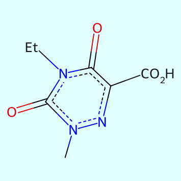 CCn1c(=O)c(C(=O)O)nn(C)c1=O